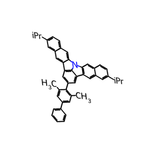 Cc1cc(-c2ccccc2)cc(C)c1-c1cc2c3cc4cc(C(C)C)ccc4cc3n3c4cc5ccc(C(C)C)cc5cc4c(c1)c23